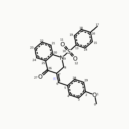 COc1ccc(/C=C2\CN(S(=O)(=O)c3ccc(C)cc3)c3ccccc3C2=O)cc1